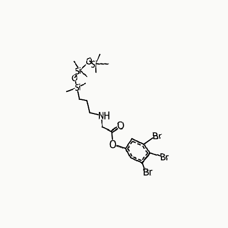 C[Si](C)(C)O[Si](C)(C)O[Si](C)(C)CCCNCC(=O)Oc1cc(Br)c(Br)c(Br)c1